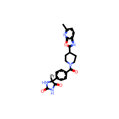 Cc1ccc2nc(C3CCN(C(=O)c4ccc(C5(C(C)C)NC(=O)NC5=O)cc4)CC3)oc2n1